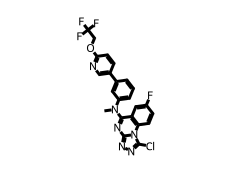 CN(c1cccc(-c2ccc(OCC(F)(F)F)nc2)c1)c1nc2nnc(Cl)n2c2ccc(F)cc12